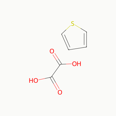 O=C(O)C(=O)O.c1ccsc1